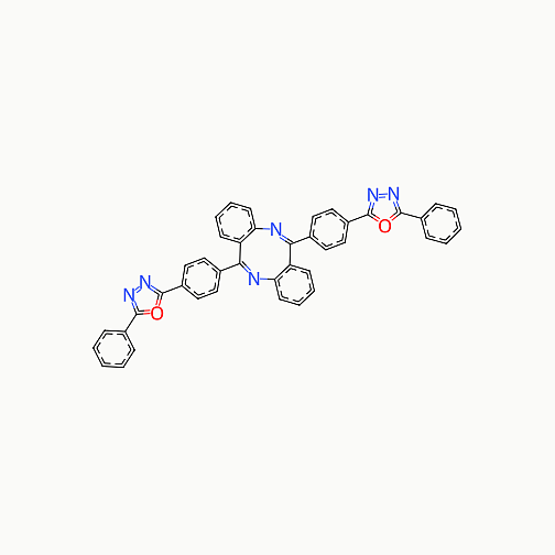 c1ccc(-c2nnc(-c3ccc(/C4=N/c5ccccc5/C(c5ccc(-c6nnc(-c7ccccc7)o6)cc5)=N\c5ccccc54)cc3)o2)cc1